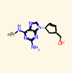 CCCNc1nc(N)nc2c1ncn2[C@@H]1C=CC(CO)C1